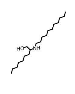 CCCCCCCCCCCNC(CO)CCCCCCC